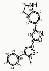 Cc1sc(-c2nc(-c3ccc4c(c3)CCN4)no2)cc1-c1ccccc1